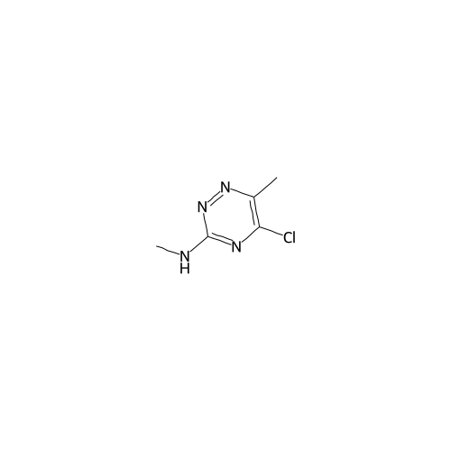 CNc1nnc(C)c(Cl)n1